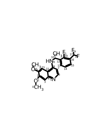 COc1cc2nccc(N[C@H](C)c3cccc(C(F)F)c3F)c2cc1OC